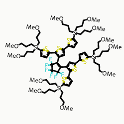 COCCC[Si](CCCOC)(CCCOC)c1ccc(-c2cc(C3=C(c4cc(-c5ccc([Si](CCCOC)(CCCOC)CCCOC)s5)sc4-c4ccc([Si](CCCOC)(CCCOC)CCCOC)s4)C(F)(F)C(F)(F)C3(F)F)c(-c3ccc([Si](CCCOC)(CCCOC)CCCOC)s3)s2)s1